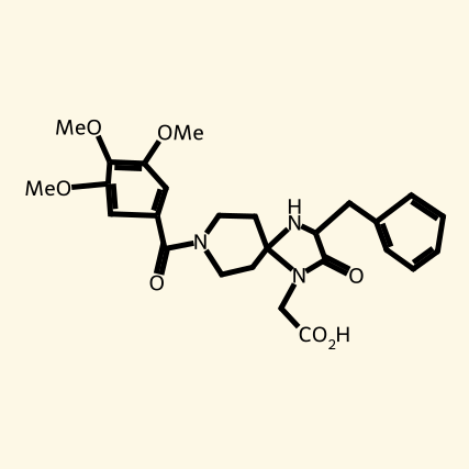 COc1cc(C(=O)N2CCC3(CC2)NC(Cc2ccccc2)C(=O)N3CC(=O)O)cc(OC)c1OC